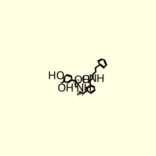 C[C@H](Cc1cccc(C(=O)NCCCc2ccccc2)c1)NC[C@@H](O)c1ccc(O)c(CO)c1